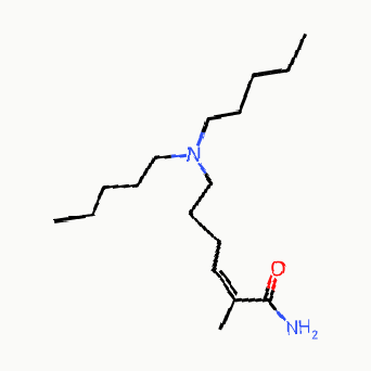 CCCCCN(CCCC=C(C)C(N)=O)CCCCC